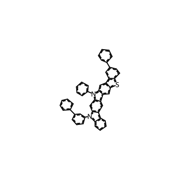 c1ccc(-c2cccc(-n3c4ccccc4c4cc5c6cc7sc8ccc(-c9ccccc9)cc8c7cc6n(-c6ccccc6)c5cc43)c2)cc1